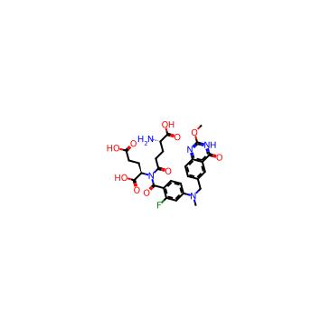 COc1nc2ccc(CN(C)c3ccc(C(=O)N(C(=O)CC[C@H](N)C(=O)O)[C@H](CCC(=O)O)C(=O)O)c(F)c3)cc2c(=O)[nH]1